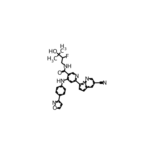 CC(C)(O)C(F)CNC(=O)c1cnc(-c2ccc3cc(C#N)cnn23)cc1Nc1ccc(-c2ccon2)cc1